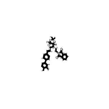 Cc1ccc(-c2ccc(C=C[C@H]3O[C@@H]4OC(C)(C)O[C@@H]4[C@@H]3CCN3C(=O)c4ccccc4C3=O)cc2)cc1F